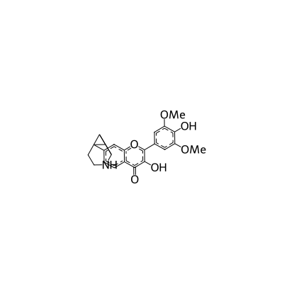 COc1cc(-c2oc3cc(C45CCNC6C4C65)ccc3c(=O)c2O)cc(OC)c1O